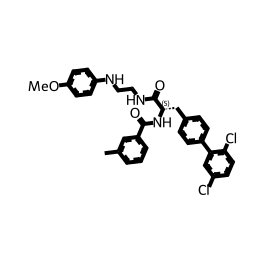 COc1ccc(NCCNC(=O)[C@H](Cc2ccc(-c3cc(Cl)ccc3Cl)cc2)NC(=O)c2cccc(C)c2)cc1